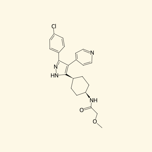 COCC(=O)N[C@H]1CC[C@@H](c2[nH]nc(-c3ccc(Cl)cc3)c2-c2ccncc2)CC1